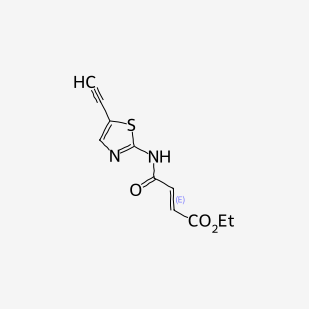 C#Cc1cnc(NC(=O)/C=C/C(=O)OCC)s1